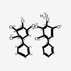 Clc1cc(-c2ccccc2)c(Cl)c(Cl)c1Cl.Clc1cc(-c2ccccc2)c(Cl)c(Cl)c1Cl.O